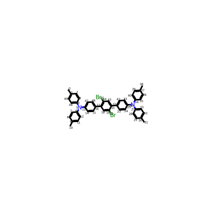 Cc1ccc(N(c2ccc(C)cc2)c2ccc(-c3cc(Br)c(-c4ccc(N(c5ccc(C)cc5)c5ccc(C)cc5)cc4)cc3Br)cc2)cc1